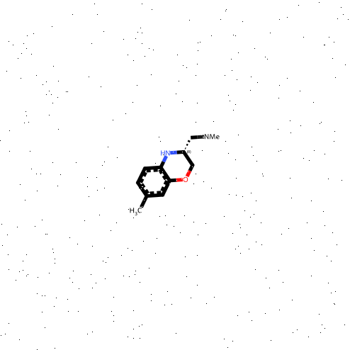 CNC[C@@H]1COc2cc(C)ccc2N1